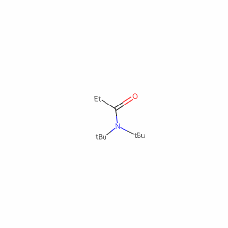 [CH2]CC(=O)N(C(C)(C)C)C(C)(C)C